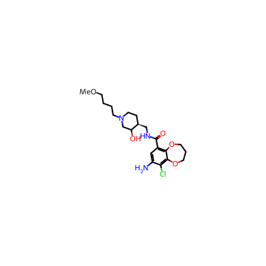 COCCCCN1CC[C@@H](CNC(=O)c2cc(N)c(Cl)c3c2OCCCO3)C(O)C1